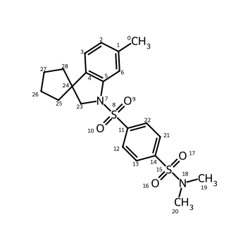 Cc1ccc2c(c1)N(S(=O)(=O)c1ccc(S(=O)(=O)N(C)C)cc1)CC21CCCC1